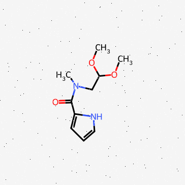 COC(CN(C)C(=O)c1ccc[nH]1)OC